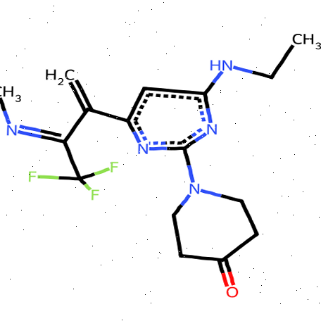 C=C(/C(=N\C)C(F)(F)F)c1cc(NCC)nc(N2CCC(=O)CC2)n1